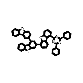 c1ccc(-c2nc(-c3ccccc3)nc(-c3cccc4oc5c(-c6cc(-c7ccc8oc9ccccc9c8c7)c7c(c6)sc6ccccc67)cccc5c34)n2)cc1